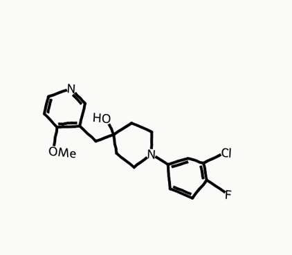 COc1ccncc1CC1(O)CCN(c2ccc(F)c(Cl)c2)CC1